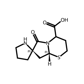 O=C(O)C1CCS[C@@H]2C[C@]3(CCCN3)C(=O)N12